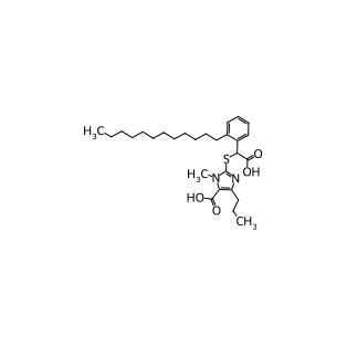 CCCCCCCCCCCCc1ccccc1C(Sc1nc(CCC)c(C(=O)O)n1C)C(=O)O